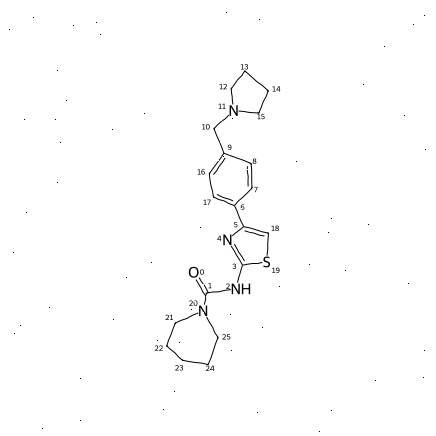 O=C(Nc1nc(-c2ccc(CN3CCCC3)cc2)cs1)N1CCCCC1